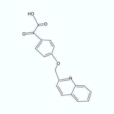 O=C(O)C(=O)c1ccc(OCc2ccc3ccccc3n2)cc1